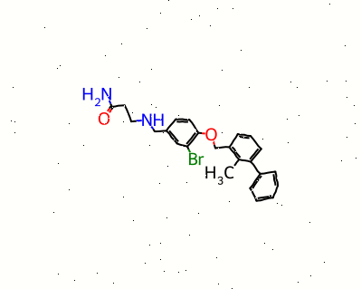 Cc1c(COc2ccc(CNCCC(N)=O)cc2Br)cccc1-c1ccccc1